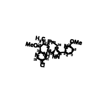 COc1cccc(-c2nnc(NSC(C)C(OC)c3ncc(Cl)cn3)n2CC(C)C)n1